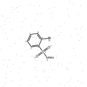 CCCCCCS(=O)(=O)c1ccccc1Br